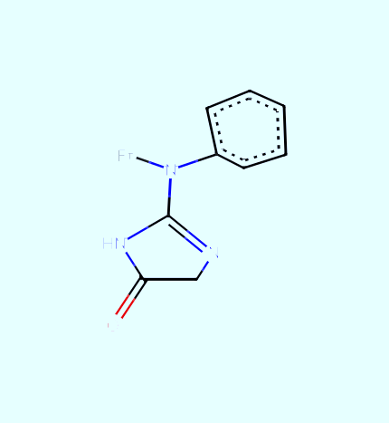 CCN(C1=NCC(=O)N1)c1ccccc1